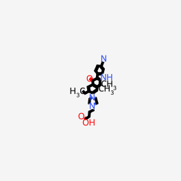 CCc1cc2c(cc1N1CCN(CCCC(=O)O)CC1)C(C)(C)c1[nH]c3cc(C#N)ccc3c1C2=O